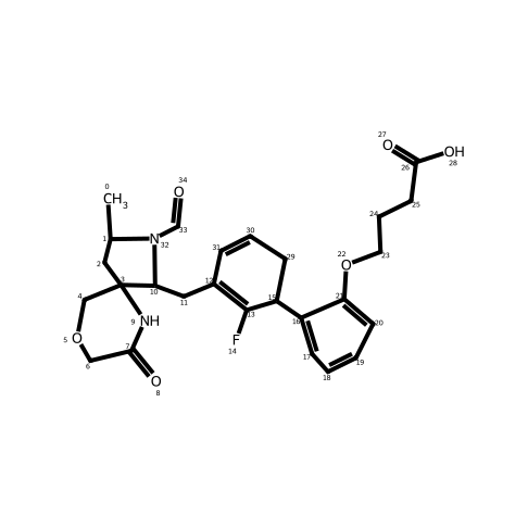 CC1CC2(COCC(=O)N2)C(CC2=C(F)C(c3ccccc3OCCCC(=O)O)CC=C2)N1C=O